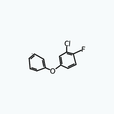 Fc1ccc(Oc2c[c]ccc2)cc1Cl